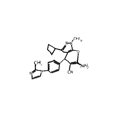 Cc1nccn1-c1ccc(C2C(C#N)=C(N)Oc3c2c(C2CCC2)nn3C)cc1